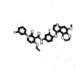 CCOc1ccn(-c2cccc(F)c2)c(=O)c1C(=O)Nc1ccc(Oc2ccnc3cc(OC)c4c(c23)OCCO4)c(F)c1